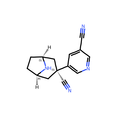 N#Cc1cncc([C@@]2(C#N)C[C@H]3CC[C@@H](C2)N3)c1